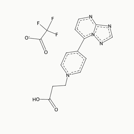 O=C(O)CC[n+]1ccc(-c2ccnc3ncnn23)cc1.O=C([O-])C(F)(F)F